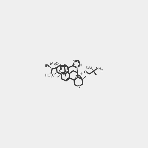 COc1cc(-c2ncnn2[C@@H]2C[C@@]34COC[C@](C)([C@@H]3CC[C@H]3C4=CC[C@@]4(C)[C@H](C(=O)O)[C@@](C)([C@H](C)C(C)C)CC[C@]34C)[C@H]2OC[C@](C)(N)C(C)(C)C)ccn1